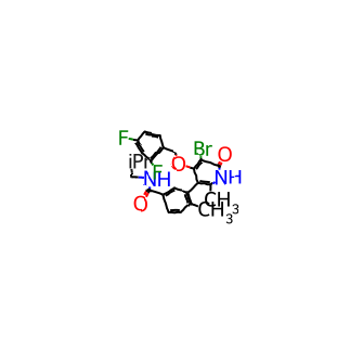 Cc1ccc(C(=O)NCC(C)C)cc1-c1c(C)[nH]c(=O)c(Br)c1OCc1ccc(F)cc1F